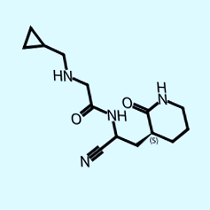 N#CC(C[C@@H]1CCCNC1=O)NC(=O)CNCC1CC1